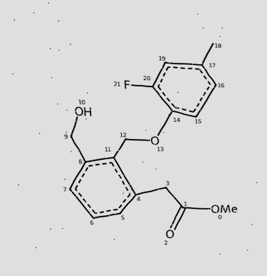 COC(=O)Cc1cccc(CO)c1COc1ccc(C)cc1F